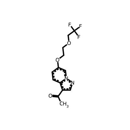 CC(=O)c1cnn2cc(OCCOCC(F)(F)F)ccc12